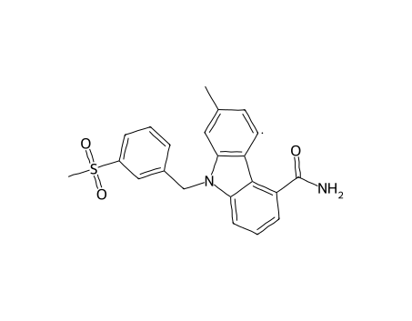 Cc1c[c]c2c3c(C(N)=O)cccc3n(Cc3cccc(S(C)(=O)=O)c3)c2c1